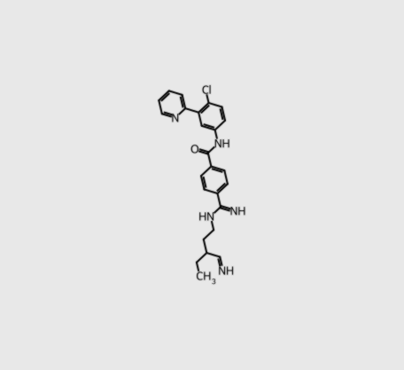 CCC(C=N)CCNC(=N)c1ccc(C(=O)Nc2ccc(Cl)c(-c3ccccn3)c2)cc1